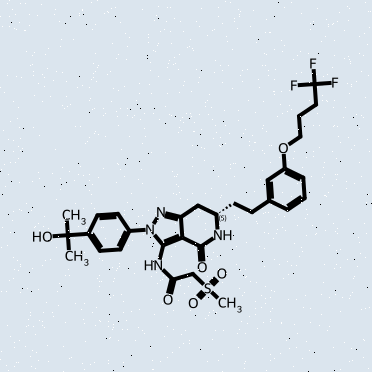 CC(C)(O)c1ccc(-n2nc3c(c2NC(=O)CS(C)(=O)=O)C(=O)N[C@@H](CCc2cccc(OCCCC(F)(F)F)c2)C3)cc1